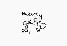 COc1cccc(C23CCN(C(=O)OCC(Cl)(Cl)Cl)CC2Cc2c([nH]c4cccc(Br)c24)C3)c1